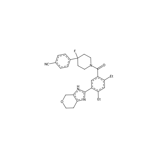 CCc1cc(CC)c(-c2nc3c([nH]2)COCC3)cc1C(=O)N1CCC(F)(c2ccc(C#N)cc2)CC1